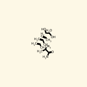 C=CC.C=CC.C=CC.CC(C)C(N)=O.O.OCCO